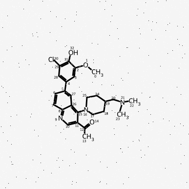 COc1cc(-c2ccc3ncc(C(C)=O)c(N4CCC(CN(C)C)CC4)c3c2)cc(Cl)c1O